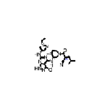 CCn1cc(Nc2nc(N[C@H]3CN(C(=O)/C(C#N)=C/C(C)C)CC[C@H]3C)c3c(Cl)n[nH]c3n2)cn1